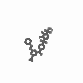 NS(=O)(=O)c1ccc(S(=O)(=O)C2CCN(C(=O)c3cc(OOC4CCCCC4)nc(C4CC4)c3)CC2)c(F)c1F